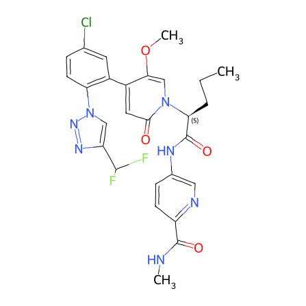 CCC[C@@H](C(=O)Nc1ccc(C(=O)NC)nc1)n1cc(OC)c(-c2cc(Cl)ccc2-n2cc(C(F)F)nn2)cc1=O